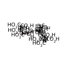 CC(C)(C)[Si](F)(c1ccc(C(=O)N[C@H](CNC(=O)CC[C@@H](C(=O)O)N2CCN(CC(=O)O)CCN(CC(=O)O)CCN(CC(=O)O)CC2)C(=O)N[C@@H](CCCCNC(=O)CCC(=O)NCCC[C@@H](NC(=O)CC[C@H](NC(=O)N[C@@H](CCC(=O)O)C(=O)O)C(=O)O)C(=O)O)C(=O)O)cc1)C(C)(C)C